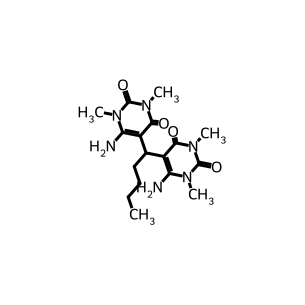 CCCCC(c1c(N)n(C)c(=O)n(C)c1=O)c1c(N)n(C)c(=O)n(C)c1=O